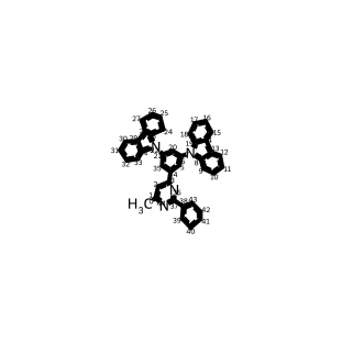 Cc1cc(-c2cc(-n3c4ccccc4c4ccccc43)cc(-n3c4ccccc4c4ccccc43)c2)nc(-c2ccccc2)n1